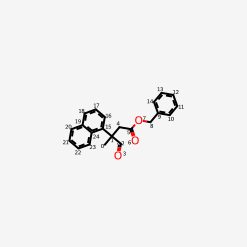 CC([C]=O)(CC(=O)OCc1ccccc1)c1cccc2ccccc12